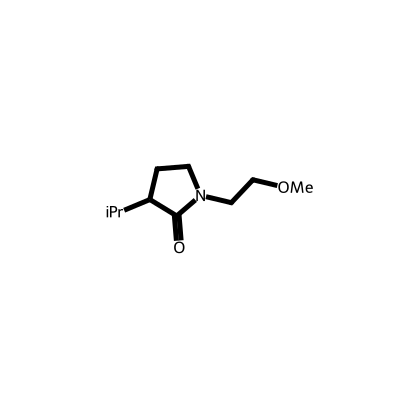 COCCN1CCC(C(C)C)C1=O